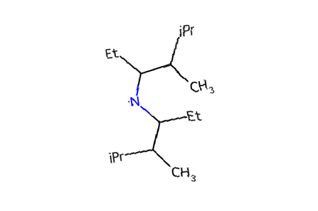 CCC([N]C(CC)C(C)C(C)C)C(C)C(C)C